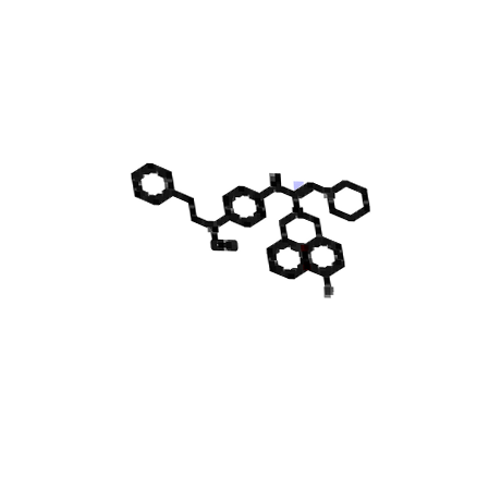 O=CN(CCc1ccccc1)c1ccc(N/C(=C/N2CCCCC2)N(Cc2ccc(F)cc2)Cc2ccccn2)cc1